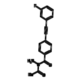 CCC(C)C(=O)N(N)C(=O)c1ccc(C#Cc2cccc(F)c2)cc1